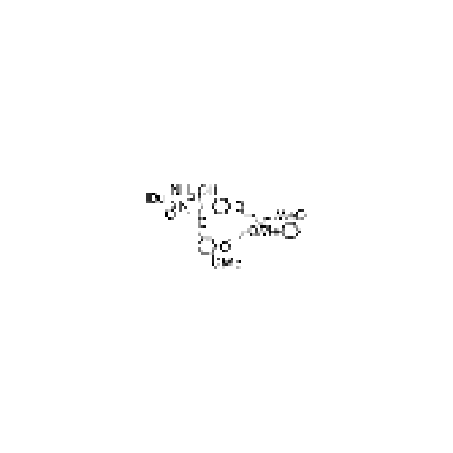 CC[C@H](C)[C@H](N)C(=O)N1C[C@@H](O)[C@H](c2ccc(OCCCOCc3ccccc3OC)cc2)[C@@H](OCc2ccc(OC)c(OCCCOC)c2)C1